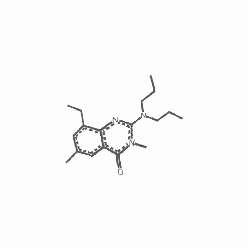 CCCN(CCC)c1nc2c(CC)cc(C)cc2c(=O)n1C